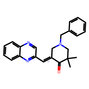 CC1(C)CN(Cc2ccccc2)C/C(=C\c2cnc3ccccc3n2)C1=O